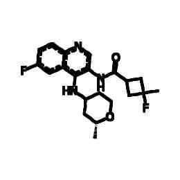 C[C@@H]1CC(Nc2c(NC(=O)C3CC(C)(F)C3)cnc3ccc(F)cc23)CCO1